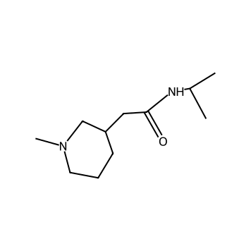 CC(C)NC(=O)CC1CCCN(C)C1